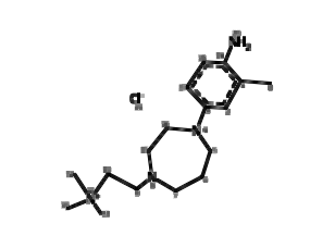 Cc1cc(N2CCCN(CC[N+](C)(C)C)CC2)ccc1N.[Cl-]